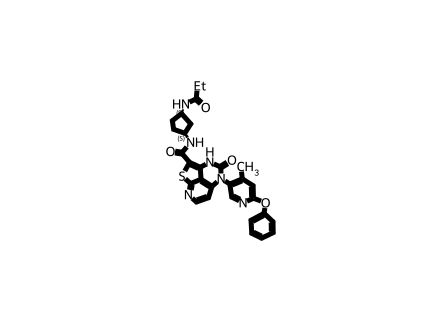 CCC(=O)N[C@H]1CC[C@H](NC(=O)c2sc3nccc4c3c2NC(=O)N4c2cnc(Oc3ccccc3)cc2C)C1